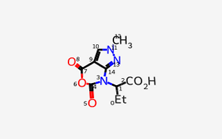 CCC(C(=O)O)n1c(=O)oc(=O)c2cn(C)nc21